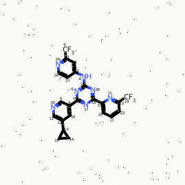 FC(F)(F)c1cc(Nc2nc(-c3cncc(C4CC4)c3)nc(-c3cccc(C(F)(F)F)n3)n2)ccn1